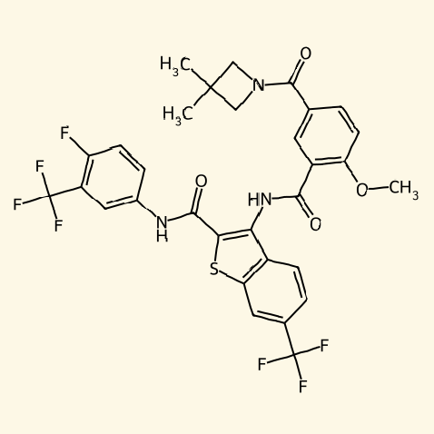 COc1ccc(C(=O)N2CC(C)(C)C2)cc1C(=O)Nc1c(C(=O)Nc2ccc(F)c(C(F)(F)F)c2)sc2cc(C(F)(F)F)ccc12